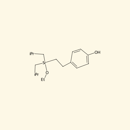 CCO[Si](CCc1ccc(O)cc1)(CC(C)C)CC(C)C